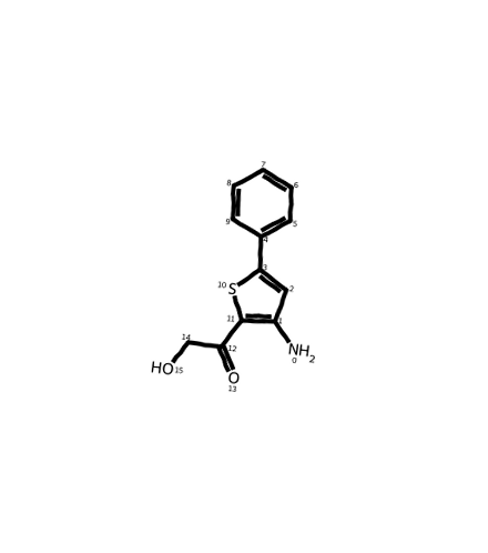 Nc1cc(-c2ccccc2)sc1C(=O)CO